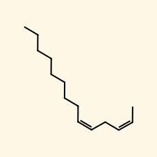 C/C=C\C/C=C\CCCCCCCC